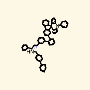 C(=C\C(NCc1ccc(-c2ccccc2)cc1)c1ccccc1)/c1cccc(-c2ccccc2-c2ccc3c(c2)C2(c4ccccc4-3)c3ccccc3N(c3ccccc3)c3ccccc32)c1